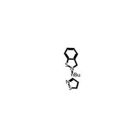 C1=NSCC1.CCCCN1Cc2ccccc2S1